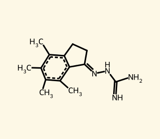 Cc1c(C)c(C)c2c(c1C)CCC2=NNC(=N)N